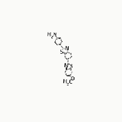 COc1ccc2nc(-c3ccc4nc(-c5ccc(N)cc5)sc4c3)sc2c1